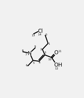 CCCC(=CC(C)N(C)C)C(=O)O.CCl